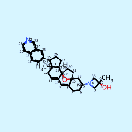 CC1(O)CN([C@H]2CCC3=CC4=CC[C@]5(C)[C@@H](c6ccc7ccncc7c6)CC[C@H]5[C@@]45CC[C@]3(C2)O5)C1